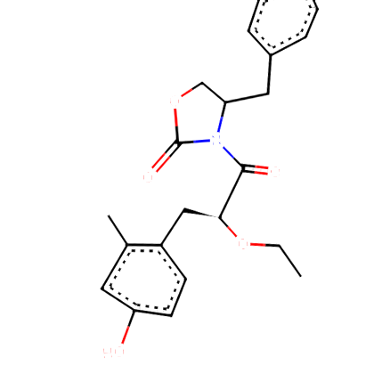 CCO[C@@H](Cc1ccc(O)cc1C)C(=O)N1C(=O)OCC1Cc1ccccc1